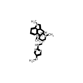 COc1cnc(NC[C@H]2CN(C)[C@@H]3Cc4cn(C)c5cccc(c45)[C@@]3(OC)C2)nc1